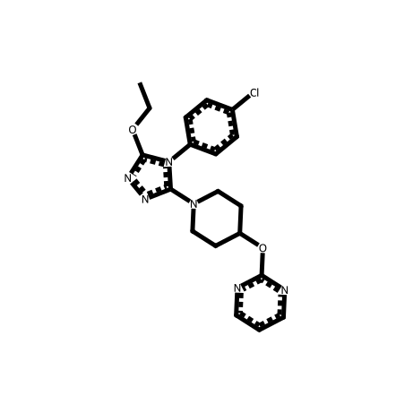 CCOc1nnc(N2CCC(Oc3ncccn3)CC2)n1-c1ccc(Cl)cc1